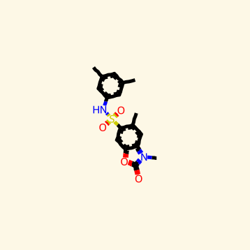 Cc1cc(C)cc(NS(=O)(=O)c2cc3oc(=O)n(C)c3cc2C)c1